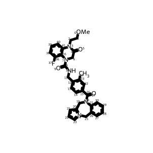 COCCN1C(=O)CN(C(=O)NCc2ccc(C(=O)N3Cc4cccn4Cc4ccccc43)cc2C)c2c(F)cccc21